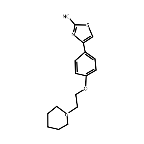 N#Cc1nc(-c2ccc(OCCN3CCCCC3)cc2)cs1